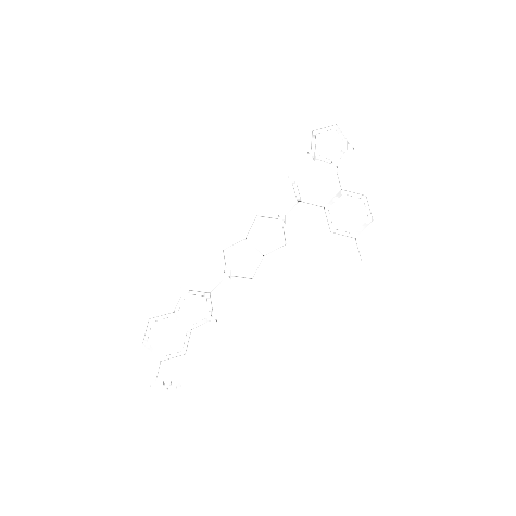 COc1ccc2oc(N3CC4CN(C(=O)c5cc(C)ccc5-n5nccn5)CC4C3)nc2c1